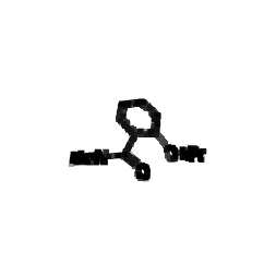 [CH2]NC(=O)c1ccccc1OCCC